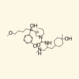 CNCC(CC1CCC(C)(O)CC1)NC(=O)N1CCC[C@@H]([C@@](O)(CCCCOC)c2cccc(Cl)c2)C1